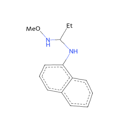 CCC(NOC)Nc1cccc2ccccc12